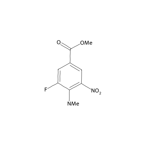 CNc1c(F)cc(C(=O)OC)cc1[N+](=O)[O-]